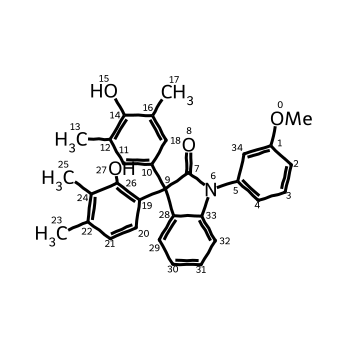 COc1cccc(N2C(=O)C(c3cc(C)c(O)c(C)c3)(c3ccc(C)c(C)c3O)c3ccccc32)c1